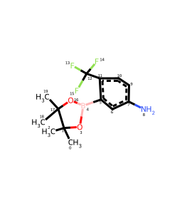 CC1(C)OB(c2cc(N)ccc2C(F)(F)F)OC1(C)C